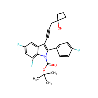 CC(C)(C)OC(=O)n1c(-c2ccc(F)cc2)c(C#CCC2(O)CCC2)c2cc(F)cc(F)c21